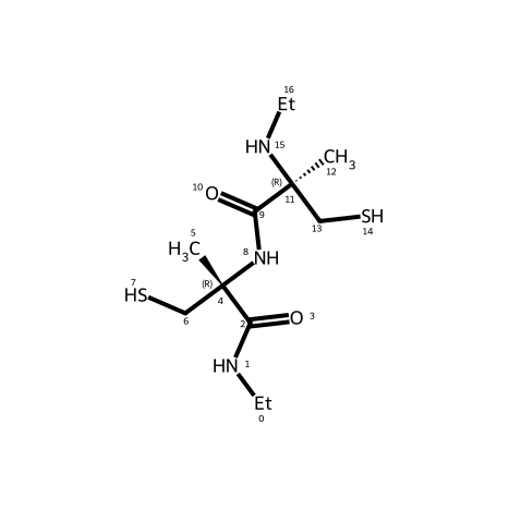 CCNC(=O)[C@](C)(CS)NC(=O)[C@](C)(CS)NCC